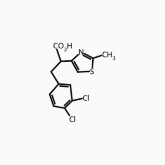 Cc1nc(C(Cc2ccc(Cl)c(Cl)c2)C(=O)O)cs1